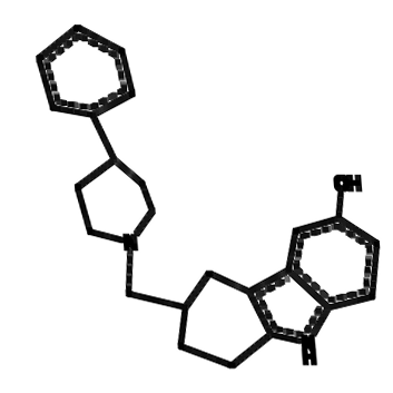 Oc1ccc2[nH]c3c(c2c1)CC(CN1CCC(c2ccccc2)CC1)CC3